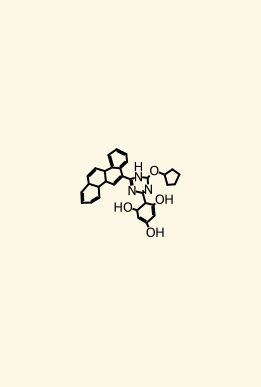 OC1=CC(O)C(C2=NC(OC3CCCC3)NC(C3=CC4C(C=CC5C=CC=CC54)c4ccccc43)=N2)C(O)=C1